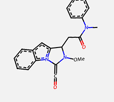 CON1C(=C=O)n2c(cc3ccccc32)C1CC(=O)N(C)c1ccccc1